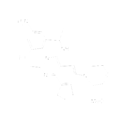 COC[C@@H]1CN(c2cc3c(NC(C)c4cc(N)cc(C(F)(F)F)c4)nc(C)nc3c3c2CCC3)CCO1